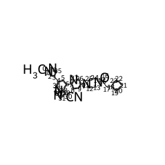 Cn1cc(-c2cc(-c3ccc(N4CCN(C(=O)Cc5ccccc5)CC4)cn3)c3c(C#N)cnn3c2)cn1